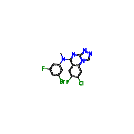 CN(c1cc(F)cc(Br)c1)c1nc2nncn2c2cc(Cl)c(F)cc12